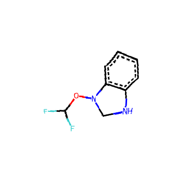 FC(F)ON1CNc2ccccc21